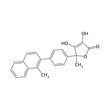 Cc1c(-c2ccc(C3(C)OC(=O)C(O)=C3O)cc2)ccc2ccccc12